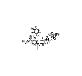 CC(C)S(=O)(=O)N1CCN(c2ccc(Nc3cc(NCc4cccc(F)c4F)c(C(N)=O)cn3)cc2)CC1